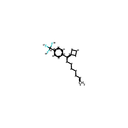 C=CCCCCCC(=C1CCC1)c1ccc(C(F)(F)F)cc1